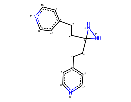 c1cc(CCC2(CCc3ccncc3)NN2)ccn1